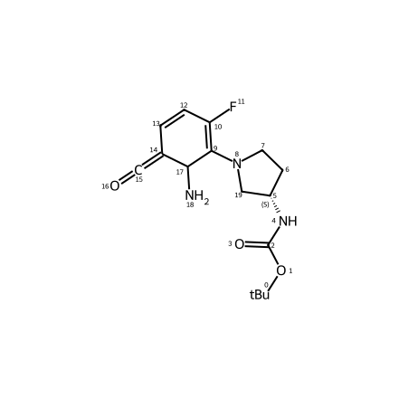 CC(C)(C)OC(=O)N[C@H]1CCN(C2=C(F)C=CC(=C=O)C2N)C1